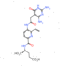 C=Cc1nc(C(=O)N[C@@H](CCC(=O)O)C(=O)O)ccc1NC(=O)Cc1c(N)nc(N)[nH]c1=O